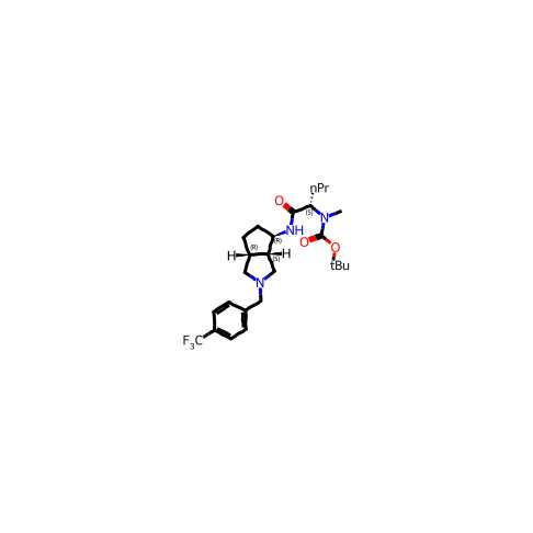 CCC[C@@H](C(=O)N[C@@H]1CC[C@H]2CN(Cc3ccc(C(F)(F)F)cc3)C[C@H]21)N(C)C(=O)OC(C)(C)C